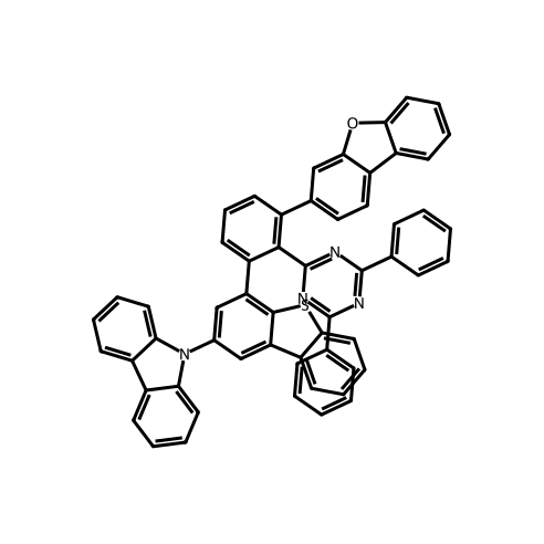 c1ccc(-c2nc(-c3ccccc3)nc(-c3c(-c4ccc5c(c4)oc4ccccc45)cccc3-c3cc(-n4c5ccccc5c5ccccc54)cc4c3sc3ccccc34)n2)cc1